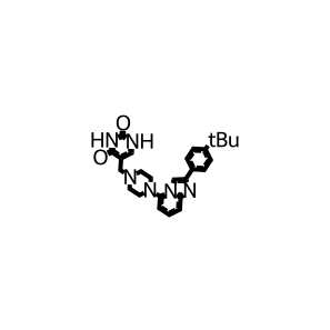 CC(C)(C)c1ccc(-c2cn3c(N4CCN(Cc5c[nH]c(=O)[nH]c5=O)CC4)cccc3n2)cc1